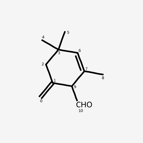 C=C1CC(C)(C)C=C(C)C1C=O